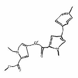 COC(=O)c1cc(NC(=O)c2cc(-c3ccc(C)cc3)cn2C)cn1C